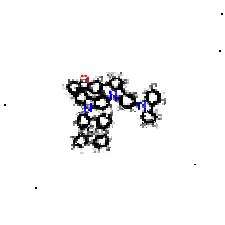 c1ccc([Si](c2ccccc2)(c2ccccc2)c2cccc(-n3c4ccccc4c4cc(-n5c6ccc(-n7c8ccccc8c8ccccc87)cc6c6cccc(-c7ccc8c(c7)oc7ccccc78)c65)ccc43)c2)cc1